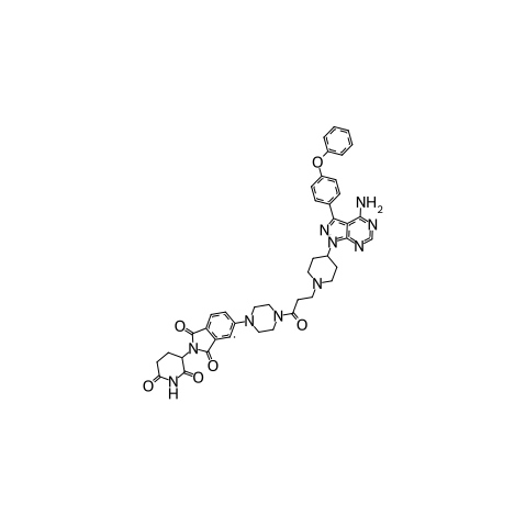 Nc1ncnc2c1c(-c1ccc(Oc3ccccc3)cc1)nn2C1CCN(CCC(=O)N2CCN(c3[c]c4c(cc3)C(=O)N(C3CCC(=O)NC3=O)C4=O)CC2)CC1